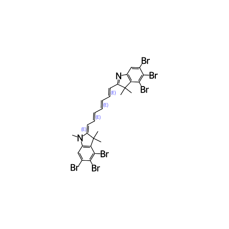 CN1/C(=C/C=C/C=C/C=C/C2=Nc3cc(Br)c(Br)c(Br)c3C2(C)C)C(C)(C)c2c1cc(Br)c(Br)c2Br